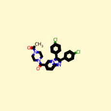 CC(=O)N1CCN(C(=O)c2ccc3nc(-c4ccc(Cl)cc4)c(-c4ccc(Cl)cc4)n3c2)CC1